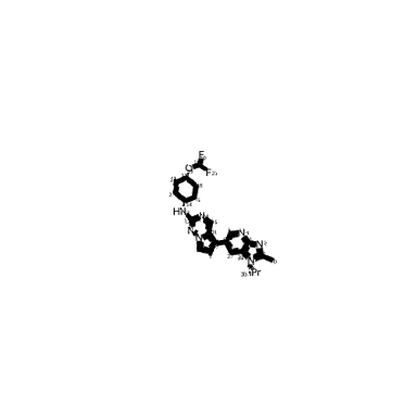 Cc1nc2ncc(-c3ccn4nc(N[C@H]5CC[C@@H](OC(F)F)CC5)ncc34)cc2n1C(C)C